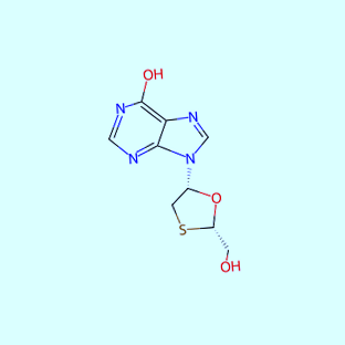 OC[C@H]1O[C@@H](n2cnc3c(O)ncnc32)CS1